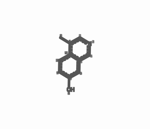 Cc1cncc2cc(O)ccc12